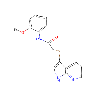 CCOc1ccccc1NC(=O)CSc1c[nH]c2ncccc12